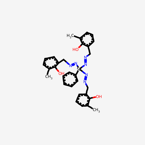 Cc1cccc(C/N=N/[Si](/N=N/Cc2cccc(C)c2O)(/N=N/Cc2cccc(C)c2O)c2ccccc2)c1O